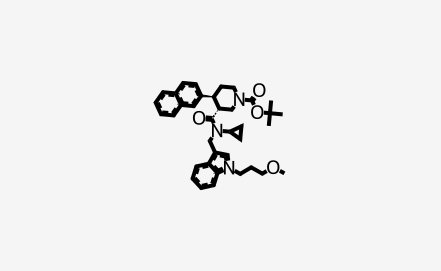 COCCCn1cc(CN(C(=O)[C@H]2CN(C(=O)OC(C)(C)C)CC[C@@H]2c2ccc3ccccc3c2)C2CC2)c2ccccc21